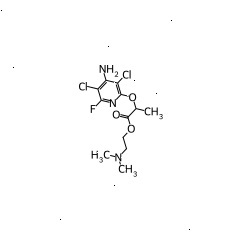 CC(Oc1nc(F)c(Cl)c(N)c1Cl)C(=O)OCCN(C)C